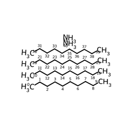 CCCCCCCCCC.CCCCCCCCCC.CCCCCCCCCC.CCCCCCCCCC.N.N